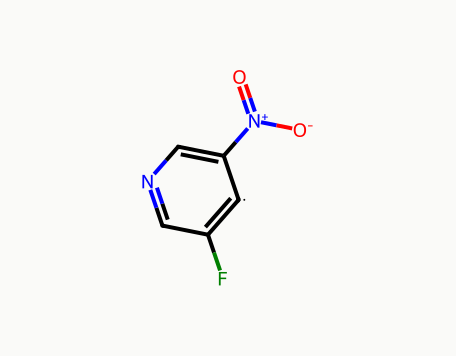 O=[N+]([O-])c1[c]c(F)cnc1